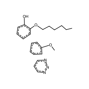 CCCCCCOc1ccccc1O.COc1ccccc1.c1cnnnc1